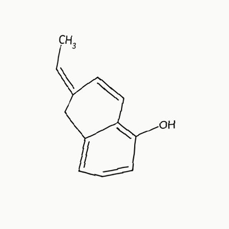 CC=C1C=Cc2c(O)cccc2C1